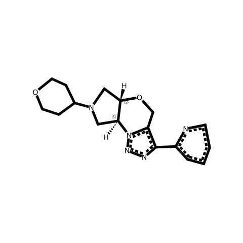 c1ccc(-c2nnn3c2CO[C@H]2CN(C4CCOCC4)C[C@@H]23)nc1